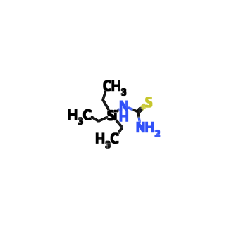 CC[Si](CC)(CC)NC(N)=S